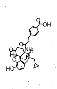 O=C(CCc1ccc(C(=O)O)cc1)NC12CCC(=O)[C@@H]3Oc4c(O)ccc5c4[C@@]31CCN(CC1CC1)[C@@H]2C5